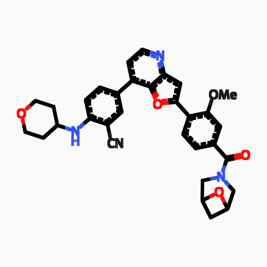 COc1cc(C(=O)N2CC3CC(C2)O3)ccc1-c1cc2nccc(-c3ccc(NC4CCOCC4)c(C#N)c3)c2o1